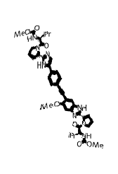 COC(=O)N[C@H](C(=O)N1CCC[C@H]1c1ncc(-c2ccc(C#Cc3cc4[nH]c([C@@H]5CCCN5C(=O)[C@@H](NC(=O)OC)C(C)C)nc4cc3OC)cc2)[nH]1)C(C)C